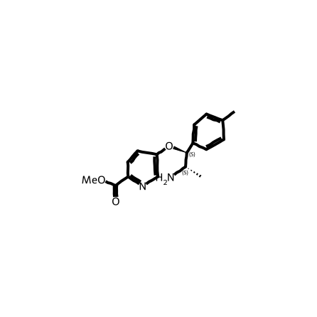 COC(=O)c1ccc(O[C@@H](c2ccc(C)cc2)[C@H](C)N)cn1